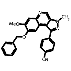 COc1cc2ncc3c(c(-c4ccc(C#N)cc4)nn3C)c2cc1OCc1ccccc1